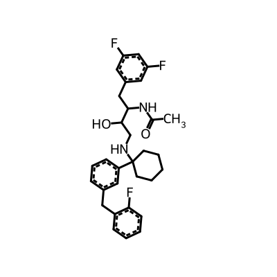 CC(=O)NC(Cc1cc(F)cc(F)c1)C(O)CNC1(c2cccc(Cc3ccccc3F)c2)CCCCC1